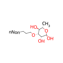 CCCCCCCCCCCCO[C@@H]1[C@@H](O)[C@H](C)O[C@@H](O)[C@@H]1O